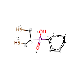 O=P(O)(c1ccccc1)C(CS)CS